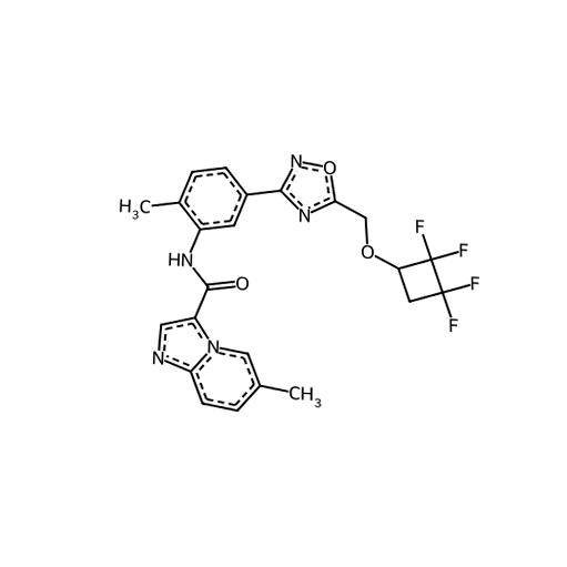 Cc1ccc2ncc(C(=O)Nc3cc(-c4noc(COC5CC(F)(F)C5(F)F)n4)ccc3C)n2c1